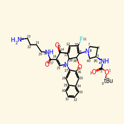 CC(C)(C)OC(=O)N[C@@H]1CCN(C2=C(F)C=C3C(=O)C(C(=O)NCCCCN)=CN4c5cc6ccccc6cc5OC2C34)C1